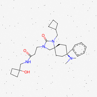 CN(C)[C@]1(c2ccccc2)CC[C@@]2(CC1)CN(CCC(=O)NCC1(O)CCC1)C(=O)N2CC1CCC1